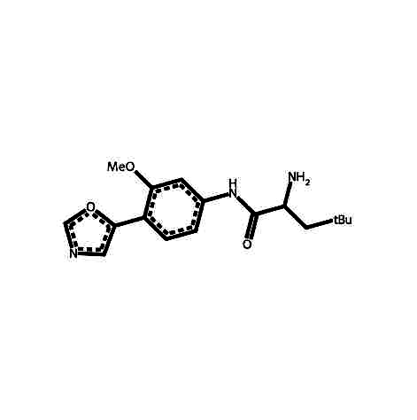 COc1cc(NC(=O)C(N)CC(C)(C)C)ccc1-c1cnco1